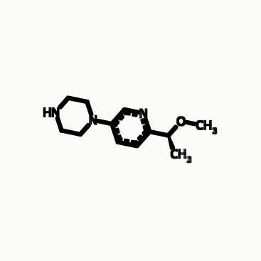 CO[C@@H](C)c1ccc(N2CCNCC2)cn1